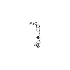 COc1ccc2c(c1)CCC(CCCNCC1CCN(S(C)(=O)=O)CC1)C2